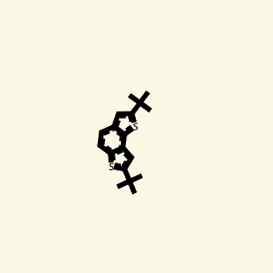 CC(C)(C)c1cc2c(ccc3cc(C(C)(C)C)sc32)s1